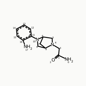 NC(=O)CN1CC2CC1CN2c1ccccc1N